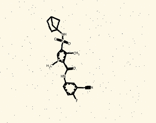 Cc1c(S(=O)(=O)NC23CCC(C2)C3)cn(C)c1C(=O)Nc1ccc(F)c(C#N)c1